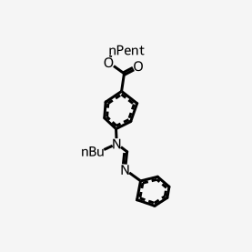 CCCCCOC(=O)c1ccc(N(C=Nc2ccccc2)CCCC)cc1